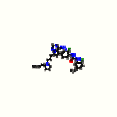 COC[C@@H]1CCCN1CCCc1cc(-c2ccc(NC(=O)Nc3cc(C(F)(F)F)ccc3F)c(F)c2)c2c(N)ncnn12